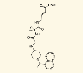 COC(=O)/C=C/CNC(=O)C1(NC(=O)CNC2CCN(C(C)c3cccc4ccccc34)CC2)CC1